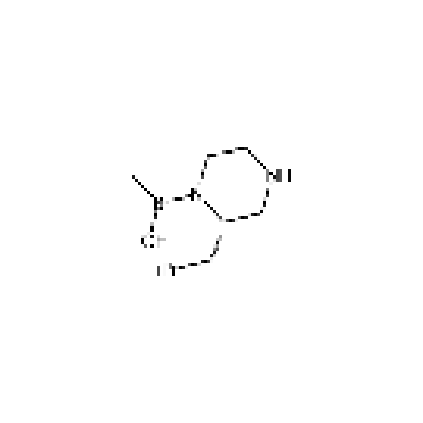 CB(O)N1CCNC[C@@H]1CC(C)C